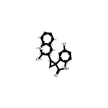 O=C1Nc2ccc(Cl)cc2C12CC2c1cc2ccccc2nc1Cl